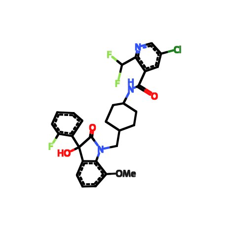 COc1cccc2c1N(CC1CCC(NC(=O)c3cc(Cl)cnc3C(F)F)CC1)C(=O)C2(O)c1ccccc1F